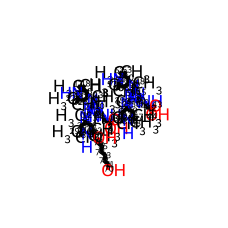 CN(c1nc(NCC(=O)O)nc(N(C)C2CC(C)(C)NC(C)(C)C2)n1)C1CC(C)(C)NC(C)(C)C1.CN(c1nc(NCC(=O)O)nc(N(C)C2CC(C)(C)NC(C)(C)C2)n1)C1CC(C)(C)NC(C)(C)C1.OCCCCCCO